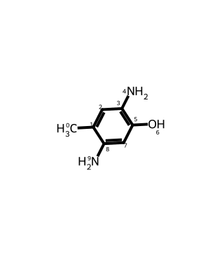 Cc1cc(N)c(O)cc1N